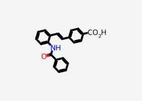 O=C(O)c1ccc(C=Cc2ccccc2NC(=O)c2ccccc2)cc1